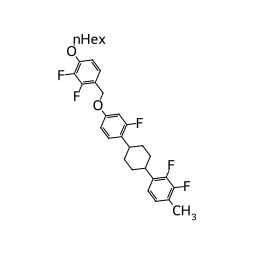 CCCCCCOc1ccc(COc2ccc(C3CCC(c4ccc(C)c(F)c4F)CC3)c(F)c2)c(F)c1F